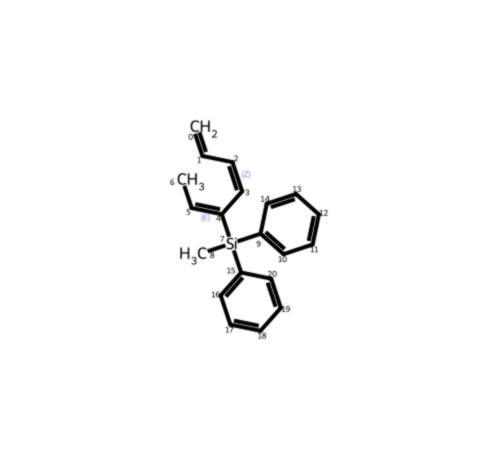 C=C/C=C\C(=C/C)[Si](C)(c1ccccc1)c1ccccc1